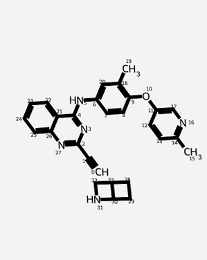 C#Cc1nc(Nc2ccc(Oc3ccc(C)nc3)c(C)c2)c2ccccc2n1.C1CC2NCC12